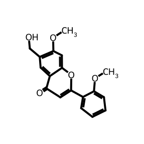 COc1cc2oc(-c3ccccc3OC)cc(=O)c2cc1CO